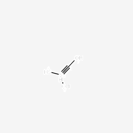 OC#[SH](O)S